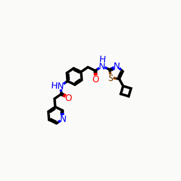 O=C(Cc1cccnc1)Nc1ccc(CC(=O)Nc2ncc(C3CCC3)s2)cc1